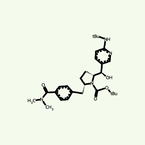 CN(C)C(=O)c1ccc(C[C@@H]2CC[C@H]([C@H](O)c3ccc(NC(C)(C)C)nc3)N2C(=O)OC(C)(C)C)cc1